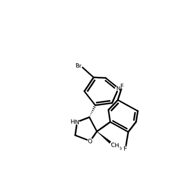 C[C@@]1(c2cc(F)ccc2F)OCN[C@@H]1c1cncc(Br)c1